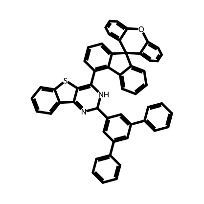 c1ccc(-c2cc(-c3ccccc3)cc(C3N=c4c(sc5ccccc45)=C(c4cccc5c4-c4ccccc4C54c5ccccc5Oc5ccccc54)N3)c2)cc1